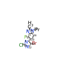 Cc1nc2c(F)c(-c3nc(Cl)ncc3Br)ccc2n1C(C)C